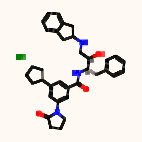 Cl.O=C(N[C@@H](Cc1ccccc1)[C@H](O)CNC1Cc2ccccc2C1)c1cc(C2CCCC2)cc(N2CCCC2=O)c1